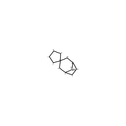 C1CCC2(C1)CC1CCC(C2)N1